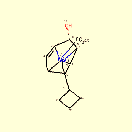 CCOC(=O)N1C2=CC3CC1C(NC3C1CCC1)[C@H]2O